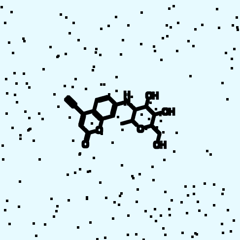 C#Cc1cc(=O)oc2cc(NC3C(C)OC(CO)C(O)C3O)ccc12